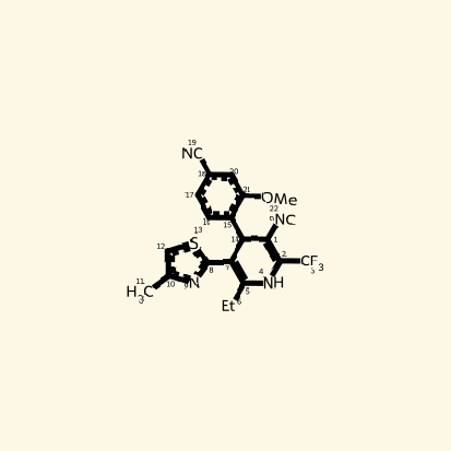 [C-]#[N+]C1=C(C(F)(F)F)NC(CC)=C(c2nc(C)cs2)C1c1ccc(C#N)cc1OC